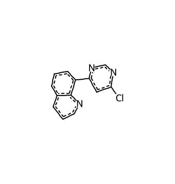 Clc1cc(-c2cccc3cccnc23)ncn1